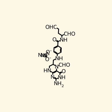 Nc1nc2c(c(=O)[nH]1)N(C=O)C(CNc1ccc(C(=O)NC(C=O)CCC=O)cc1)CN2.[Na+].[Na+].[O-]S[O-]